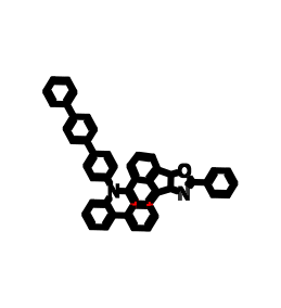 c1ccc(C2=NC3c4ccc(N(c5ccc(-c6ccc(-c7ccccc7)cc6)cc5)c5ccccc5-c5ccccc5)c5cccc(c45)C3O2)cc1